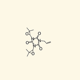 C=CCn1c(=O)n(C2OC2(C)C)c(=O)n(C2OC2(C)C)c1=O